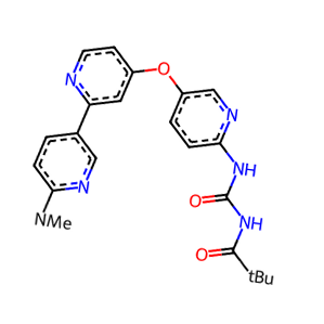 CNc1ccc(-c2cc(Oc3ccc(NC(=O)NC(=O)C(C)(C)C)nc3)ccn2)cn1